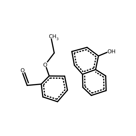 CCOc1ccccc1C=O.Oc1cccc2ccccc12